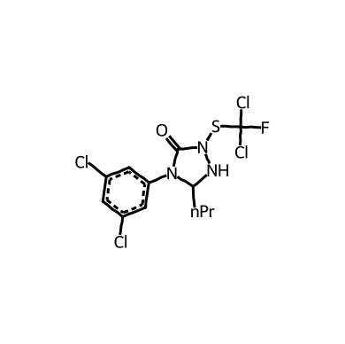 CCCC1NN(SC(F)(Cl)Cl)C(=O)N1c1cc(Cl)cc(Cl)c1